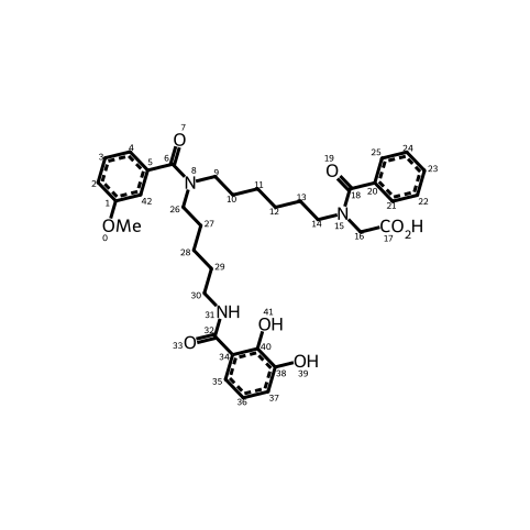 COc1cccc(C(=O)N(CCCCCCN(CC(=O)O)C(=O)c2ccccc2)CCCCCNC(=O)c2cccc(O)c2O)c1